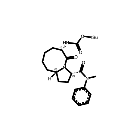 CN(C(=O)[C@@H]1CC[C@@H]2CCCC[C@H](NC(=O)OC(C)(C)C)C(=O)N21)c1ccccc1